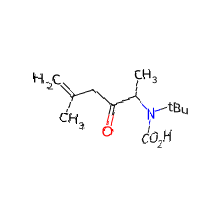 C=C(C)CC(=O)C(C)N(C(=O)O)C(C)(C)C